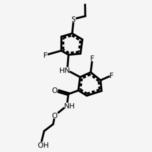 CCSc1ccc(Nc2c(C(=O)NOCCO)ccc(F)c2F)c(F)c1